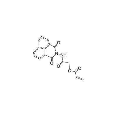 C=CC(=O)OCC(=O)NN1C(=O)c2cccc3cccc(c23)C1=O